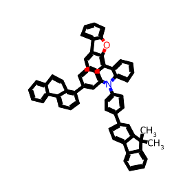 CC1(C)c2ccccc2-c2ccc(-c3ccc(N(c4cccc(-c5cccc6c5ccc5ccccc56)c4)c4ccccc4-c4cccc5c4oc4ccccc45)cc3)cc21